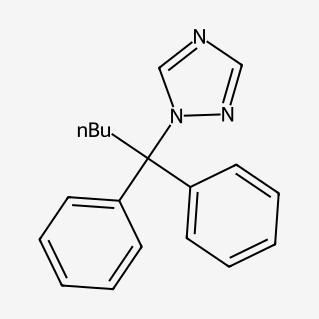 CCCCC(c1ccccc1)(c1ccccc1)n1cncn1